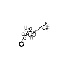 C[C@H]1C(=O)N2[C@@H](CCCN3CC(F)(F)C(F)(F)C3)CC[C@H]2CN1C(=O)OCc1ccccc1